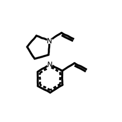 C=CN1CCCC1.C=Cc1ccccn1